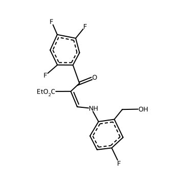 CCOC(=O)/C(=C/Nc1ccc(F)cc1CO)C(=O)c1cc(F)c(F)cc1F